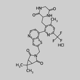 Cc1cc(C(F)(F)F)nc(-c2ccnc3cc(CN4C(=O)C5C(C4=O)C5(C)C)sc23)c1CC1NC(=O)CNC1=O.Cl